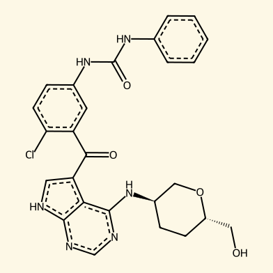 O=C(Nc1ccccc1)Nc1ccc(Cl)c(C(=O)c2c[nH]c3ncnc(N[C@@H]4CC[C@@H](CO)OC4)c23)c1